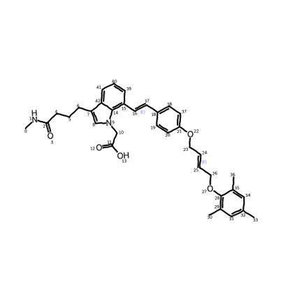 CNC(=O)CCCc1cn(CC(=O)O)c2c(/C=C/c3ccc(OC/C=C/COc4c(C)cc(C)cc4C)cc3)cccc12